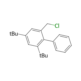 CC(C)(C)c1cc(CCl)c(-c2ccccc2)c(C(C)(C)C)c1